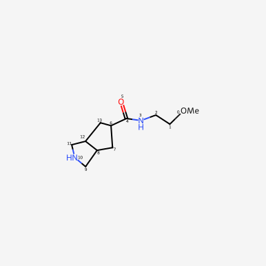 COCCNC(=O)C1CC2CNCC2C1